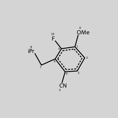 COc1ccc(C#N)c(CC(C)C)c1F